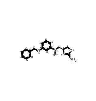 CCN(C[C@H]1COC(N)=N1)c1cccc(OCc2ccccc2)c1